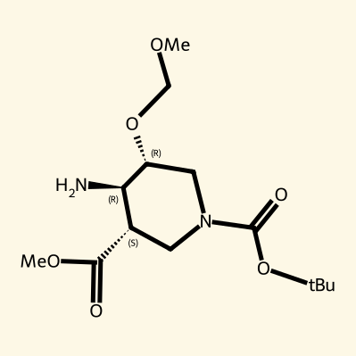 COCO[C@@H]1CN(C(=O)OC(C)(C)C)C[C@H](C(=O)OC)[C@H]1N